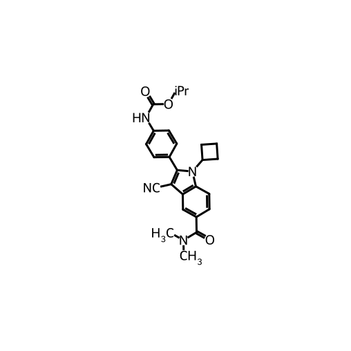 CC(C)OC(=O)Nc1ccc(-c2c(C#N)c3cc(C(=O)N(C)C)ccc3n2C2CCC2)cc1